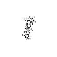 CC1=C2N(C)C(=O)CC[C@]2(C)[C@H]2CC[C@]3(C)[C@@H](C(=O)NC4C(F)=CC(F)(C#N)C(F)=C4F)CC[C@H]3[C@@H]2C1